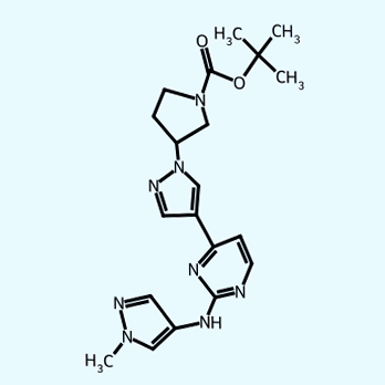 Cn1cc(Nc2nccc(-c3cnn(C4CCN(C(=O)OC(C)(C)C)C4)c3)n2)cn1